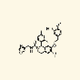 COc1ccc(CCOc2cc3c(cc2OC)CCN(C(=O)NCc2cocn2)C3c2ccc(C)cc2C)cc1O